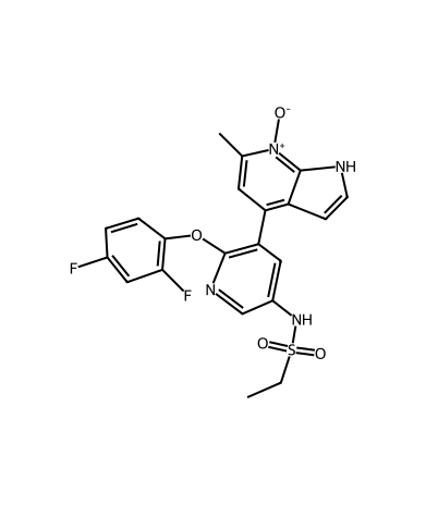 CCS(=O)(=O)Nc1cnc(Oc2ccc(F)cc2F)c(-c2cc(C)[n+]([O-])c3[nH]ccc23)c1